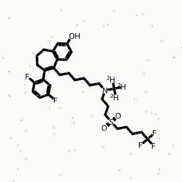 [2H]C([2H])([2H])N(CCCCCCC1=C(c2cc(F)ccc2F)CCCc2cc(O)ccc21)CCCS(=O)(=O)CCCCC(F)(F)F